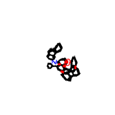 c1ccc(N(c2ccc3ccc4ccccc4c3c2)c2ccccc2-c2ccc3c(c2)Oc2ccccc2C32c3ccccc3-c3ccccc32)cc1